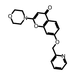 O=c1cc(N2CCOCC2)oc2cc(OCc3ccccn3)ccc12